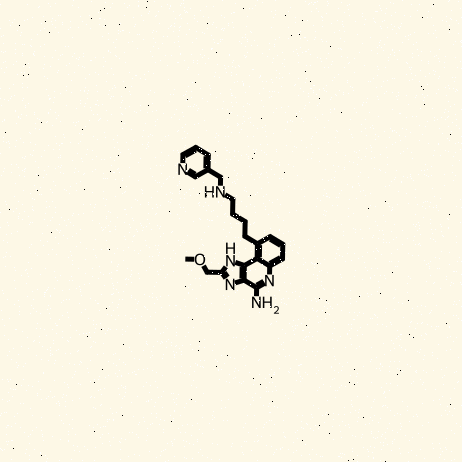 COCc1nc2c(N)nc3cccc(CCCCNCc4cccnc4)c3c2[nH]1